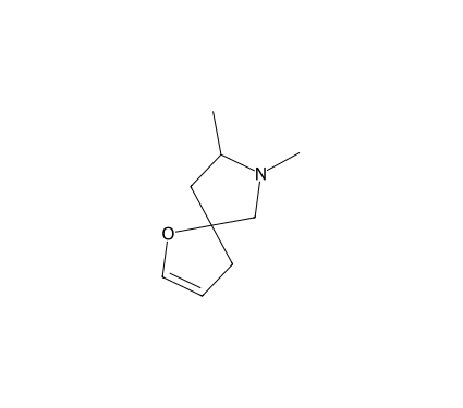 CC1CC2(CC=CO2)CN1C